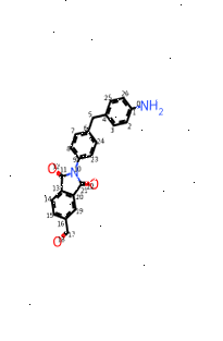 Nc1ccc(Cc2ccc(N3C(=O)c4ccc(C=O)cc4C3=O)cc2)cc1